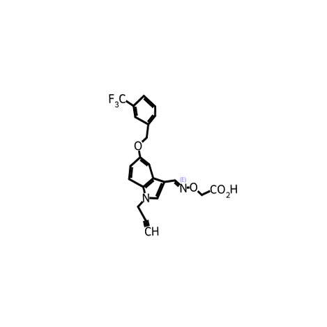 C#CCn1cc(/C=N/OCC(=O)O)c2cc(OCc3cccc(C(F)(F)F)c3)ccc21